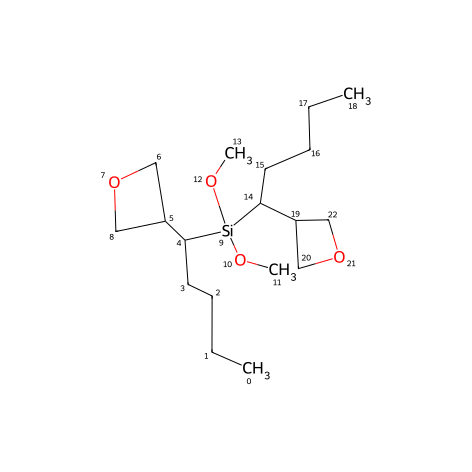 CCCCC(C1COC1)[Si](OC)(OC)C(CCCC)C1COC1